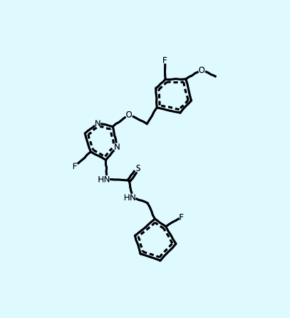 COc1ccc(COc2ncc(F)c(NC(=S)NCc3ccccc3F)n2)cc1F